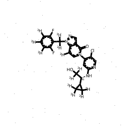 [2H]c1c([2H])c(F)c(C([2H])([2H])n2ncc3c(=O)n(-c4cc(N[C@H](C5C([2H])([2H])C5([2H])[2H])C([2H])([2H])O)ncc4Cl)cc([2H])c32)c(F)c1[2H]